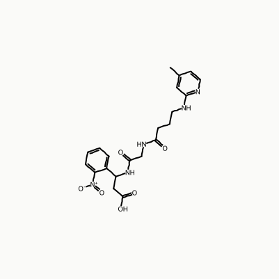 Cc1ccnc(NCCCC(=O)NCC(=O)NC(CC(=O)O)c2ccccc2[N+](=O)[O-])c1